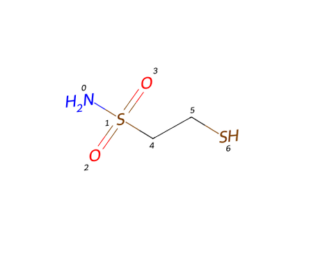 NS(=O)(=O)CCS